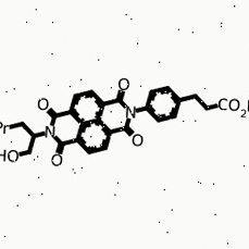 CC(C)CC(CO)N1C(=O)c2ccc3c4c(ccc(c24)C1=O)C(=O)N(c1ccc(CCC(=O)O)cc1)C3=O